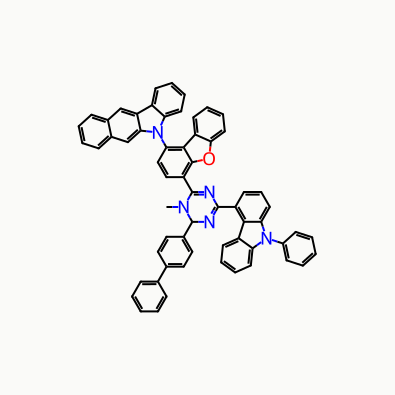 CN1C(c2ccc(-n3c4ccccc4c4cc5ccccc5cc43)c3c2oc2ccccc23)=NC(c2cccc3c2c2ccccc2n3-c2ccccc2)=NC1c1ccc(-c2ccccc2)cc1